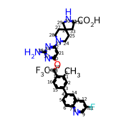 Cc1cc(-c2ccc3ncc(F)cc3c2)ccc1[C@@H](Oc1cc(N2CCC3(CC2)CN[C@H](C(=O)O)C3)nc(N)n1)C(F)(F)F